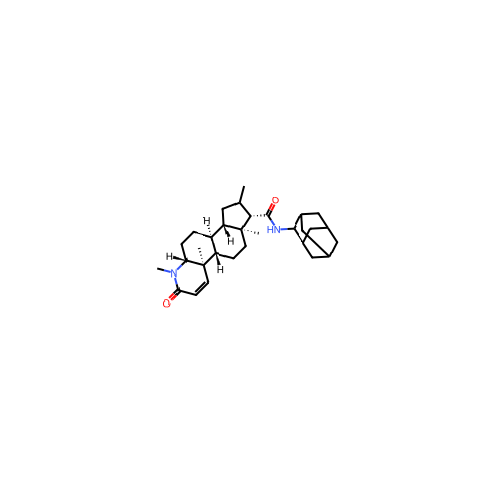 CC1C[C@H]2[C@@H]3CC[C@H]4N(C)C(=O)C=C[C@]4(C)[C@H]3CC[C@]2(C)[C@H]1C(=O)NC1C2CC3CC(C2)CC1C3